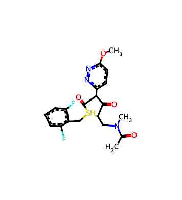 COc1ccc(C2C(=O)C(CN(C)C(C)=O)[SH](Cc3c(F)cccc3F)C2=O)nn1